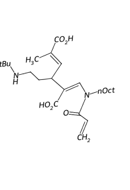 C=CC(=O)N(C=C(C(=O)O)C(C=C(C)C(=O)O)CCNC(C)(C)C)CCCCCCCC